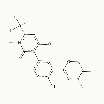 CN1N=C(c2cc(-n3c(=O)cc(C(F)(F)F)n(C)c3=O)ccc2Cl)OCC1=O